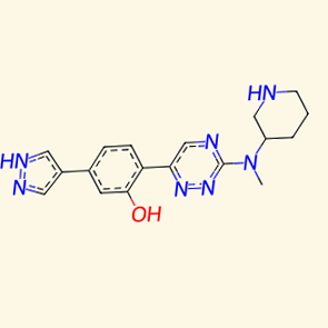 CN(c1ncc(-c2ccc(-c3cn[nH]c3)cc2O)nn1)C1CCCNC1